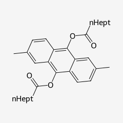 CCCCCCCC(=O)Oc1c2ccc(C)cc2c(OC(=O)CCCCCCC)c2ccc(C)cc12